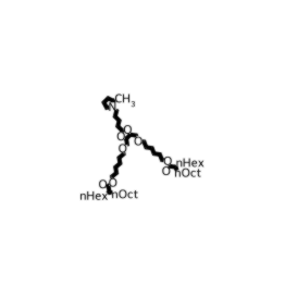 CCCCCCCCC(CCCCCC)C(=O)OCCCCCCOCC1OC(CCCCN2CCCC2C)OC1COCCCCCCOC(=O)C(CCCCCC)CCCCCCCC